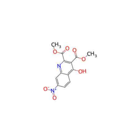 COC(=O)c1nc2cc([N+](=O)[O-])ccc2c(O)c1C(=O)OC